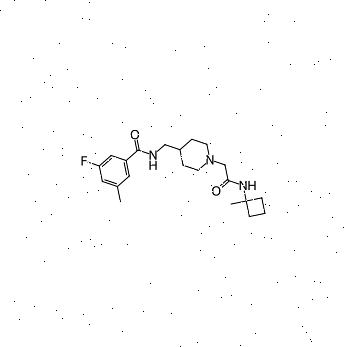 Cc1cc(F)cc(C(=O)NCC2CCN(CC(=O)NC3(C)CCC3)CC2)c1